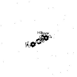 COc1ccc(S(=O)(=O)N2CCN(c3ccc(OC(F)(F)F)cc3)CC2)c(C(=O)NO)c1OC